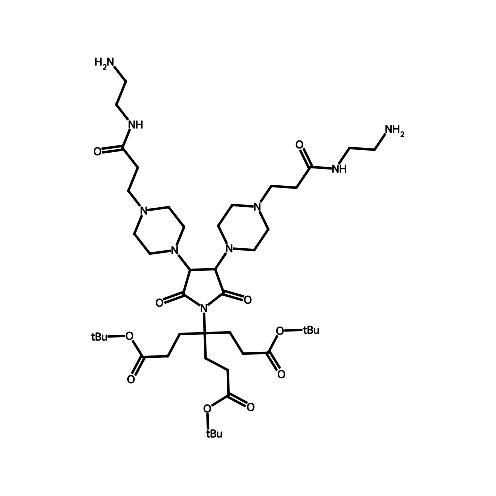 CC(C)(C)OC(=O)CCC(CCC(=O)OC(C)(C)C)(CCC(=O)OC(C)(C)C)N1C(=O)C(N2CCN(CCC(=O)NCCN)CC2)C(N2CCN(CCC(=O)NCCN)CC2)C1=O